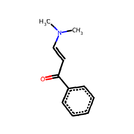 CN(C)/C=C/C(=O)c1ccccc1